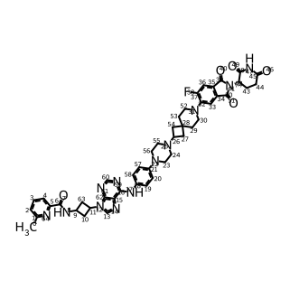 Cc1cccc(C(=O)NC2CC(n3cnc4c(Nc5ccc(N6CCN(C7CC8(CCN(c9cc%10c(cc9F)C(=O)N([C@H]9CCC(=O)NC9=O)C%10=O)CC8)C7)CC6)cc5)ncnc43)C2)n1